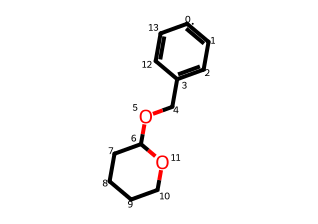 [c]1ccc(COC2CCCCO2)cc1